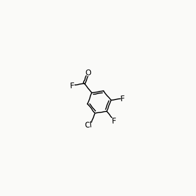 O=C(F)c1cc(F)c(F)c(Cl)c1